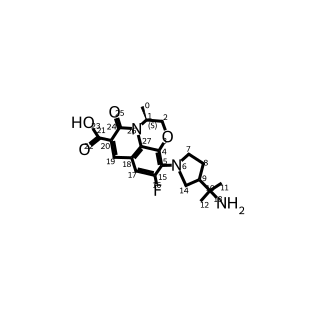 C[C@H]1COc2c(N3CCC(C(C)(C)N)C3)c(F)cc3cc(C(=O)O)c(=O)n1c23